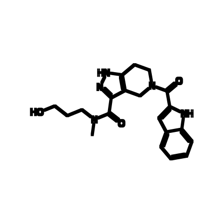 CN(CCCO)C(=O)c1n[nH]c2c1CN(C(=O)c1cc3ccccc3[nH]1)CC2